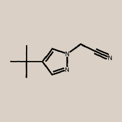 CC(C)(C)c1cnn(CC#N)c1